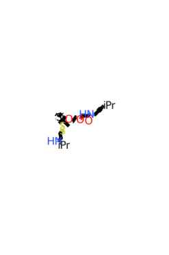 CC(C)C#CCNC(=O)COCCOC(C)(SSCCNC(C)C)C(C)(C)[Si](C)(C)C